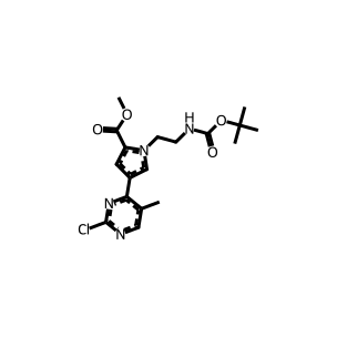 COC(=O)c1cc(-c2nc(Cl)ncc2C)cn1CCNC(=O)OC(C)(C)C